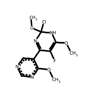 COC1=C(F)C(c2cncnc2OC)=NC(Cl)(OC)N1